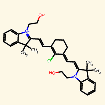 CC1(C)C(=CC=C2CCCC(C=CC3=[N+](CCO)c4ccccc4C3(C)C)=C2Cl)N(CCO)c2ccccc21